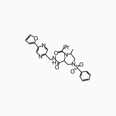 CC(C)C(=O)N1C(C)CN(S(=O)(=O)c2ccccc2)CC1C(=O)NCc1cnc(-c2ccco2)cn1